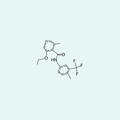 CCOc1cccc(C)c1C(=O)Nc1ccc(C)c(C(F)(F)F)c1